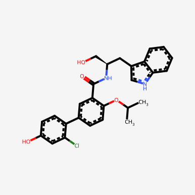 CC(C)Oc1ccc(-c2ccc(O)cc2Cl)cc1C(=O)N[C@@H](CO)Cc1c[nH]c2ccccc12